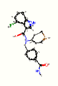 CNC(=O)c1ccc(CN(C(=O)c2c[nH]c3cccc(F)c23)C2CCSCC2)cc1